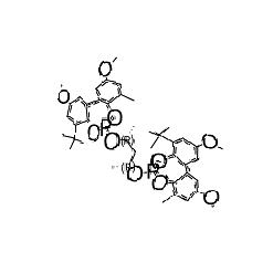 COc1cc(C)c2op(O[C@H](C)C[C@@H](C)Op3oc4c(C)cc(OC)cc4c4cc(OC)cc(C(C)(C)C)c4o3)oc3c(C(C)(C)C)cc(OC)cc3c2c1